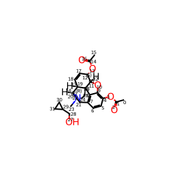 CC(=O)Oc1ccc2c3c1O[C@H]1[C@@H](OC(C)=O)C=C[C@H]4[C@@H](C2)N(C)CC[C@@]341.OCC1CC1